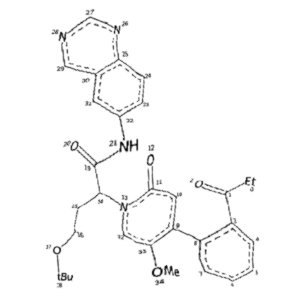 CCC(=O)c1ccccc1-c1cc(=O)n(C(CCOC(C)(C)C)C(=O)Nc2ccc3ncncc3c2)cc1OC